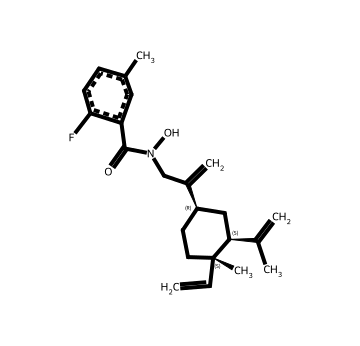 C=C[C@]1(C)CC[C@@H](C(=C)CN(O)C(=O)c2cc(C)ccc2F)C[C@H]1C(=C)C